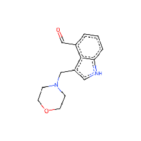 O=Cc1cccc2[nH]cc(CN3CCOCC3)c12